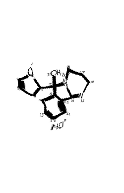 Cl.OC1(c2ccco2)c2ccccc2C2=NCCCN21